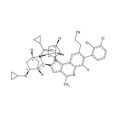 Cc1nc2c(F)c(-c3cccc(Cl)c3Cl)c(CCC#N)cc2c2c1cc([C@H]1[C@H]3C[C@H](C[C@@H]3OC3CC3)N1C(=O)C1CC1)n2[C@H]1[C@H]2CN[C@@H]1C2